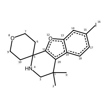 CC1(C)CNC2(CCOCC2)c2oc3cc(I)ccc3c21